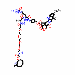 CCc1c2c(nc3ccc(OC)cc13)-c1cc3c(c(=O)n1C2)COC(=O)[C@@]3(CC)OC(=O)OCc1ccc(NC(=O)[C@H](CCCNC(N)=O)NC(=O)[C@@H](NC(=O)CCOCCOCCOCCOCCNC(=O)COC2/C=C(/C)CCCCC2)C(C)C)cc1